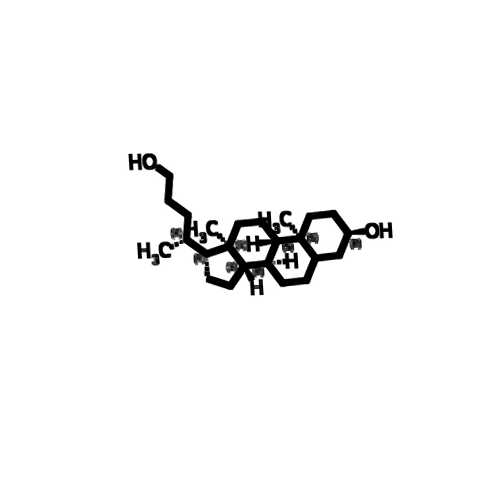 C[C@H](CCCO)[C@H]1CC[C@H]2[C@@H]3CCC4C[C@H](O)CC[C@]4(C)[C@H]3CC[C@]12C